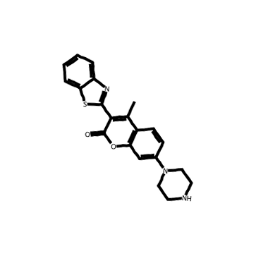 Cc1c(-c2nc3ccccc3s2)c(=O)oc2cc(N3CCNCC3)ccc12